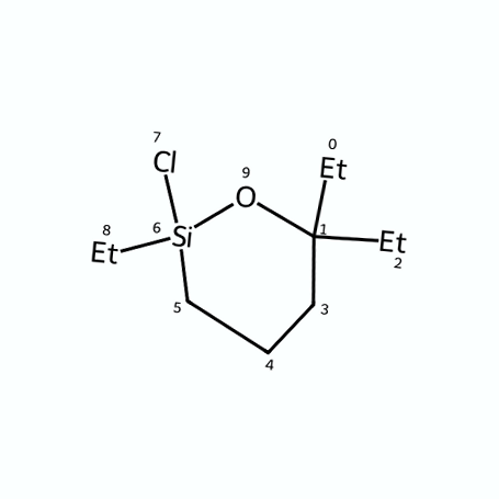 CCC1(CC)CCC[Si](Cl)(CC)O1